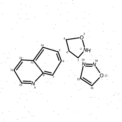 C1CNOC1.c1ccc2ncccc2c1.c1conn1